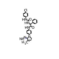 CN1CCN(c2ccc(NC(=O)[C@H](NC(=O)Nc3ccc(Cl)cc3)c3ccccc3)cc2)/C1=N/C#N